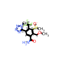 COCc1c(C(N)=O)cc(-c2nnnn2C)c(C(F)(F)F)c1[S+](C)[O-]